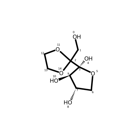 OCC1([C@@]2(O)OC[C@H](O)[C@H]2O)OCCO1